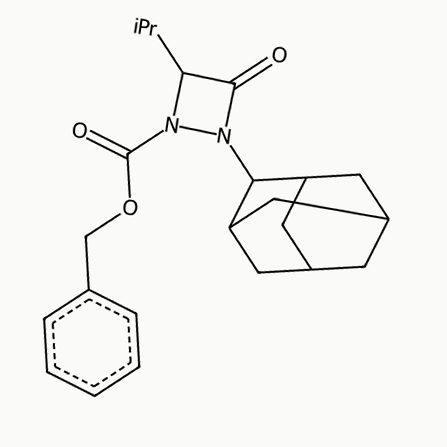 CC(C)C1C(=O)N(C2C3CC4CC(C3)CC2C4)N1C(=O)OCc1ccccc1